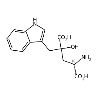 N[C@@H](CC(O)(Cc1c[nH]c2ccccc12)C(=O)O)C(=O)O